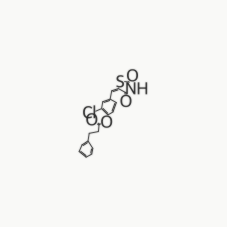 O=C(CCc1ccccc1)Oc1ccc(C=C2SC(=O)NC2=O)cc1Cl